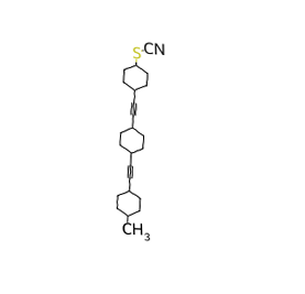 CC1CCC(C#CC2CCC(C#CC3CCC(SC#N)CC3)CC2)CC1